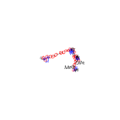 COc1cc2c(cc1OCCCOc1cc3c(cc1OC)C(=O)N1C=C(C)C[C@H]1[C@H](O)N3C(=O)OCc1ccc(NC(=O)[C@H](C)NC(=O)[C@@H](NC(=O)CCOCCOCCOCCOCCCCCOCCOCCOCCNC(=O)CCN3C(=O)CC(CC4CCCCCC4)C3=O)C(C)C)cc1)N=C[C@@H]1CC(C)=CN1C2=O